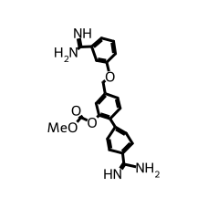 COC(=O)Oc1cc(COc2cccc(C(=N)N)c2)ccc1-c1ccc(C(=N)N)cc1